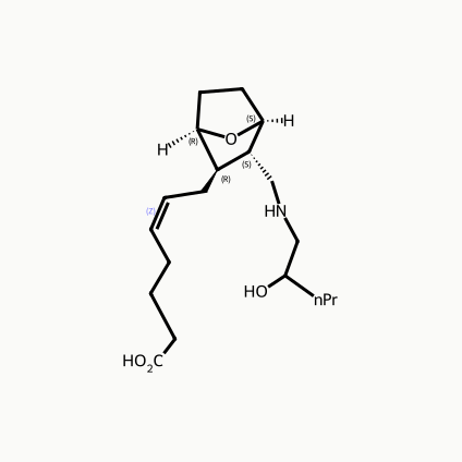 CCCC(O)CNC[C@@H]1[C@@H](C/C=C\CCCC(=O)O)[C@H]2CC[C@@H]1O2